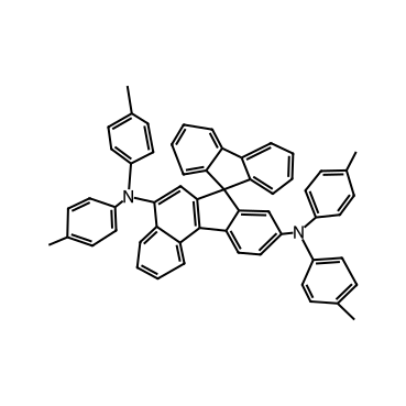 Cc1ccc(N(c2ccc(C)cc2)c2ccc3c(c2)C2(c4ccccc4-c4ccccc42)c2cc(N(c4ccc(C)cc4)c4ccc(C)cc4)c4ccccc4c2-3)cc1